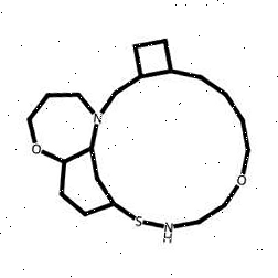 C1CCC2CCC2CN2CCCOC3CCC(CC32)SNCCOC1